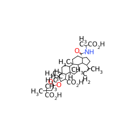 C=C(C)[C@@H]1CC[C@]2(C(=O)NC(C)C(=O)O)CC[C@]3(C)C(CC[C@@H]4[C@@]5(C)[C@@H](C(=O)O)[C@H](OC(=O)CC(C)(C)C(=O)O)C(C)(C)[C@@H]5CC[C@]43C)C12